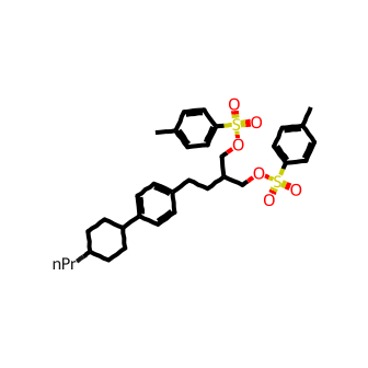 CCCC1CCC(c2ccc(CCC(COS(=O)(=O)c3ccc(C)cc3)COS(=O)(=O)c3ccc(C)cc3)cc2)CC1